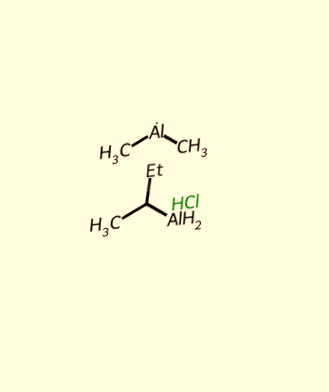 CC[CH](C)[AlH2].Cl.[CH3][Al][CH3]